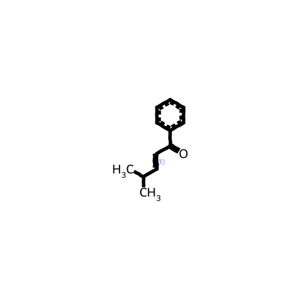 CC(C)/C=C/C(=O)c1ccccc1